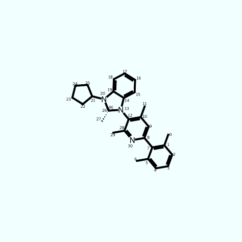 Cc1cccc(C)c1-c1cc(C)c(N2c3ccccc3N(C3CCCC3)[C@H]2C)c(C)n1